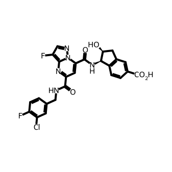 O=C(O)c1ccc2c(c1)C[C@H](O)[C@@H]2NC(=O)c1cc(C(=O)NCc2ccc(F)c(Cl)c2)nc2c(F)cnn12